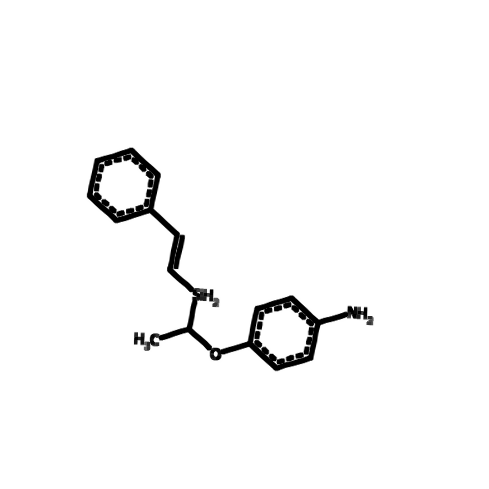 CC(Oc1ccc(N)cc1)[SiH2]C=Cc1ccccc1